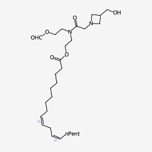 CCCCC/C=C\C/C=C\CCCCCCCC(=O)OCCN(CCOC=O)C(=O)CN1CC(CO)C1